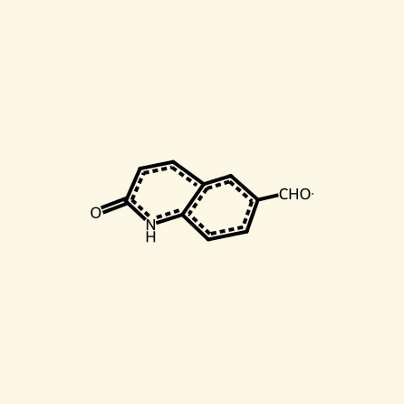 O=[C]c1ccc2[nH]c(=O)ccc2c1